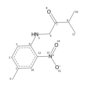 Cc1ccc(NCC(=O)C(C)C)c([N+](=O)[O-])c1